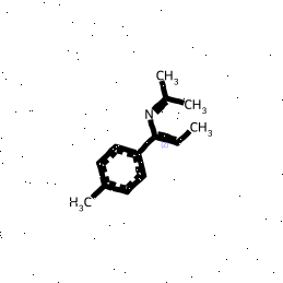 C/C=C(\N=C(C)C)c1ccc(C)cc1